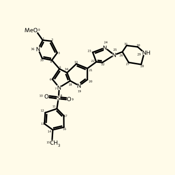 COc1ccc(-c2cn(S(=O)(=O)c3ccc(C)cc3)c3ncc(-c4cnn(C5CCNCC5)c4)cc23)cn1